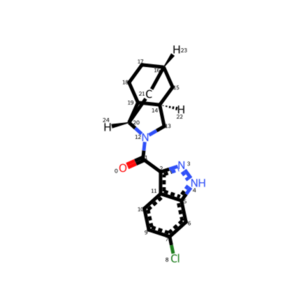 O=C(c1n[nH]c2cc(Cl)ccc12)N1C[C@@H]2C[C@H]3CCC2[C@@H]1C3